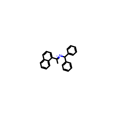 C/C(=N\C(c1ccccc1)c1ccccc1)c1cccc2ccccc12